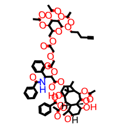 C#CCCCO[C@@H]1OC(COC(=O)COCC(=O)O[C@@H](C(=O)O[C@H]2C[C@@]3(O)[C@@H](OC(=O)c4ccccc4)[C@@H]4[C@]5(OC(C)=O)CO[C@@H]5C[C@H](O)[C@@]4(C)C(=O)[C@H](OC(C)=O)C(C2C)C3(C)C)C(NC(=O)c2ccccc2)c2ccccc2)[C@@H](OC(C)=O)C(OC(C)=O)C1OC(C)=O